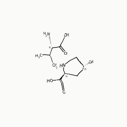 CC(C)[C@H](N)C(=O)O.O=C(O)[C@@H]1C[C@@H](O)CN1